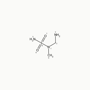 CN(CN)S(N)(=O)=O